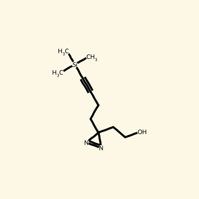 C[Si](C)(C)C#CCCC1(CCO)N=N1